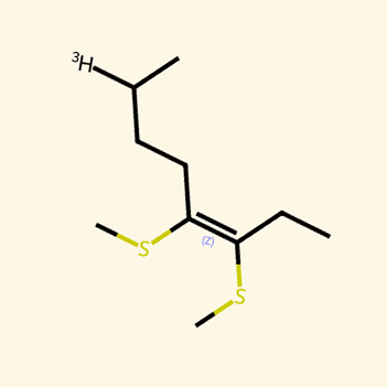 [3H]C(C)CC/C(SC)=C(\CC)SC